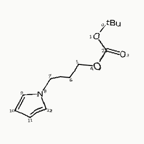 CC(C)(C)OC(=O)OCCCn1cccc1